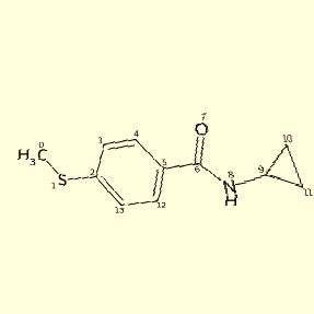 CSc1ccc(C(=O)NC2CC2)cc1